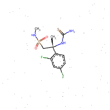 CNS(=O)(=O)C[C@](C)(NC(N)=S)c1ccc(F)cc1F